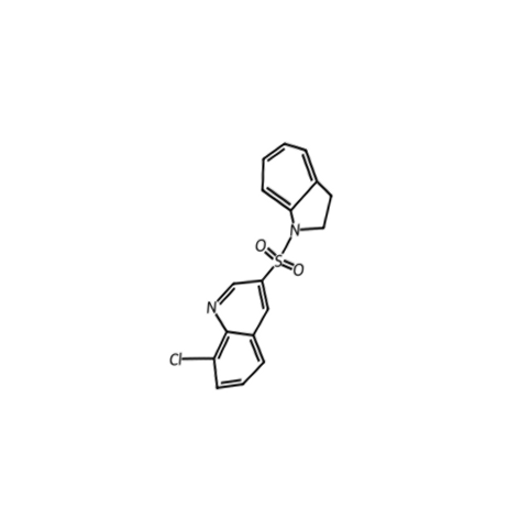 O=S(=O)(c1cnc2c(Cl)cccc2c1)N1CCc2ccccc21